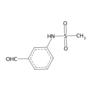 CS(=O)(=O)Nc1cccc([C]=O)c1